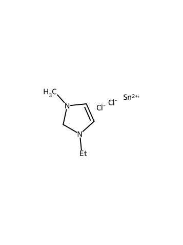 CCN1C=CN(C)C1.[Cl-].[Cl-].[Sn+2]